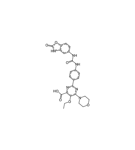 CCOc1c(C(=O)O)nc(-c2ccc(NC(=O)Nc3ccc4oc(=O)[nH]c4c3)cc2)nc1N1CCOCC1